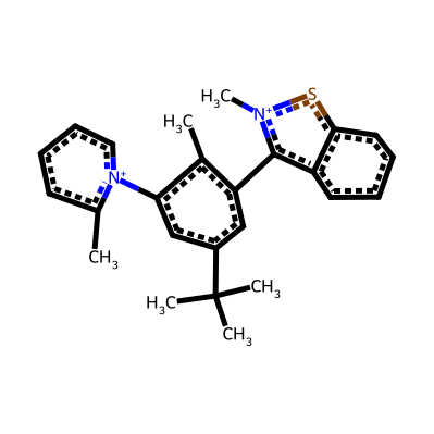 Cc1c(-c2c3ccccc3s[n+]2C)cc(C(C)(C)C)cc1-[n+]1ccccc1C